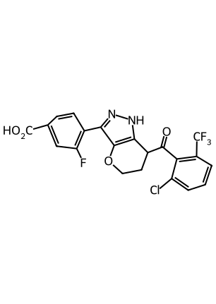 O=C(O)c1ccc(-c2n[nH]c3c2OCCC3C(=O)c2c(Cl)cccc2C(F)(F)F)c(F)c1